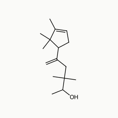 C=C(CC(C)(C)C(C)O)C1CC=C(C)C1(C)C